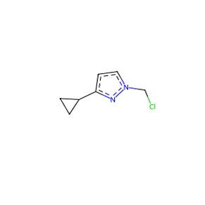 ClCn1ccc(C2CC2)n1